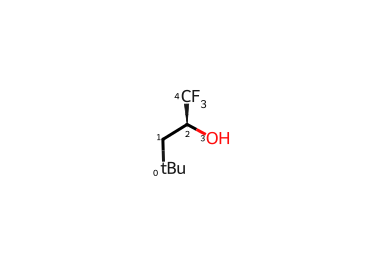 CC(C)(C)C[C@H](O)C(F)(F)F